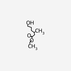 CCOC(=O)CC(C)CCCO